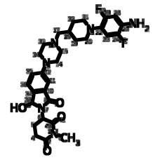 CN1C(=O)CCC(N2C(=O)c3cc(N4CCN(CC5CCN(c6cc(F)c(N)cc6F)CC5)CC4)ccc3C2O)C1=O